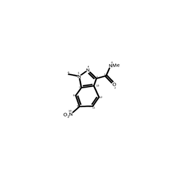 CNC(=O)c1nn(C)c2cc([N+](=O)[O-])ccc12